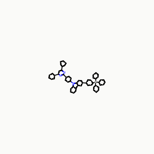 c1ccc(-c2cc(-c3ccccc3)nc(-c3ccc(-n4c5ccccc5c5cc(-c6ccc([Si](c7ccccc7)(c7ccccc7)c7ccccc7)cc6)ccc54)cc3)n2)cc1